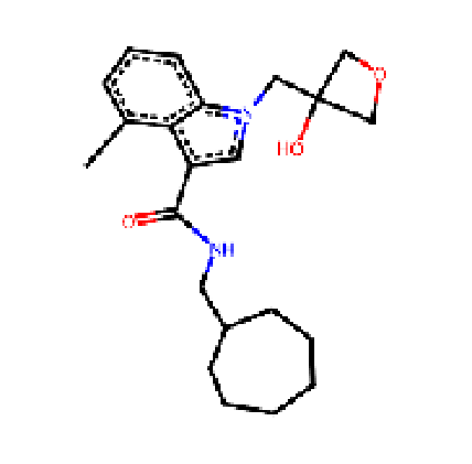 Cc1cccc2c1c(C(=O)NCC1CCCCCC1)cn2CC1(O)COC1